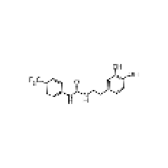 O=C(NCCc1ccc(O)c(O)c1)Nc1ccc(C(F)(F)F)cc1